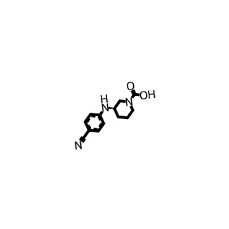 N#Cc1ccc(N[C@@H]2CCCN(C(=O)O)C2)cc1